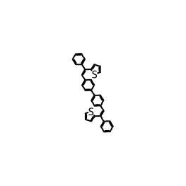 C(=C(c1ccccc1)c1cccs1)c1ccc(-c2ccc(C=C(c3ccccc3)c3cccs3)cc2)cc1